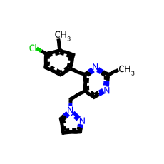 Cc1ncc(Cn2cccn2)c(-c2ccc(Cl)c(C)c2)n1